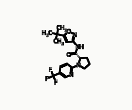 CC(C)(C)c1cc(NC(=O)[C@@H]2CCCN2c2ccc(C(F)(F)F)cn2)no1